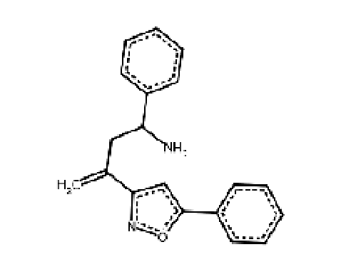 C=C(CC(N)c1ccccc1)c1cc(-c2ccccc2)on1